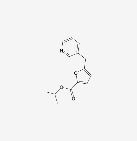 CC(C)OC(=O)c1ccc(Cc2cccnc2)o1